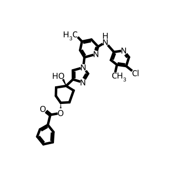 Cc1cc(Nc2cc(C)c(Cl)cn2)nc(-n2cnc([C@]3(O)CC[C@H](OC(=O)c4ccccc4)CC3)c2)c1